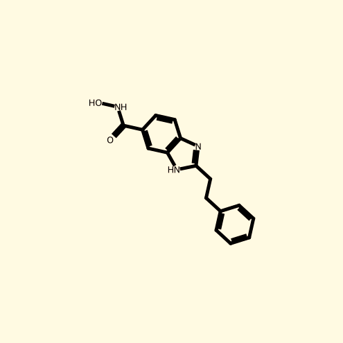 O=C(NO)c1ccc2nc(CCc3ccccc3)[nH]c2c1